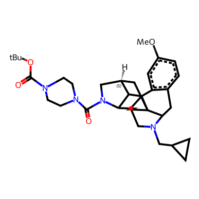 COc1ccc2c(c1)C13CCN(CC4CC4)C(C2)C12CCC1C3[C@@H](CN1C(=O)N1CCN(C(=O)OC(C)(C)C)CC1)C2